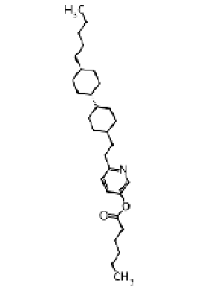 CCCCCC(=O)Oc1ccc(CCC2CCC([C@H]3CC[C@H](CCCCC)CC3)CC2)nc1